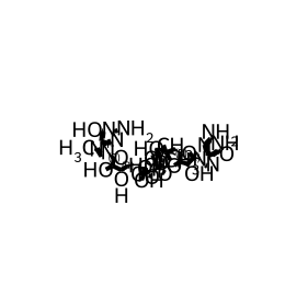 C[n+]1cn([C@@H]2O[C@H](COP(=O)(O)OP(=O)(O)OP(=O)(O)C(C)(C)C[C@H]3O[C@@H](n4cnc5c(=O)[nH]c(N)nc54)C(O)C3O)C(O)C2O)c2nc(N)nc(O)c21